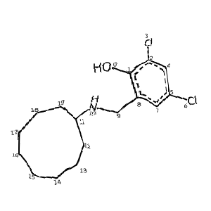 Oc1c(Cl)cc(Cl)cc1CNC1CCCCCCCC1